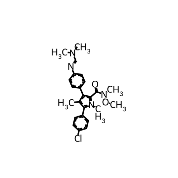 CON(C)C(=O)c1c(-c2ccc(/N=C/N(C)C)cc2)c(C)c(-c2ccc(Cl)cc2)n1C